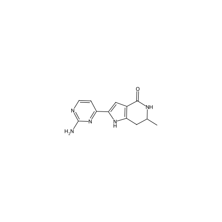 CC1Cc2[nH]c(-c3ccnc(N)n3)cc2C(=O)N1